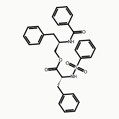 O=C(N[C@@H](COC(=O)[C@@H](Cc1ccccc1)NS(=O)(=O)c1ccccc1)Cc1ccccc1)c1ccccc1